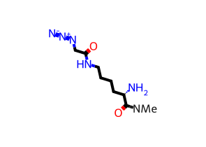 CNC(=O)[C@@H](N)CCCCNC(=O)CN=[N+]=[N-]